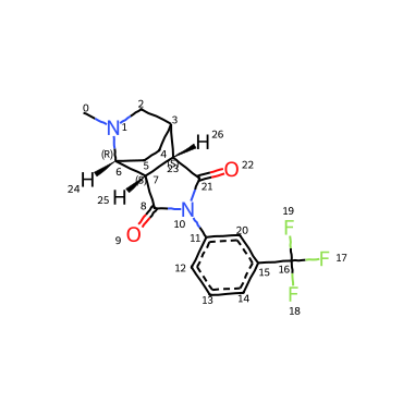 CN1CC2CC[C@@H]1[C@H]1C(=O)N(c3cccc(C(F)(F)F)c3)C(=O)[C@@H]21